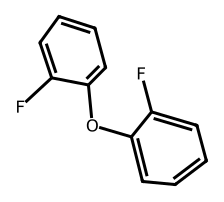 Fc1ccccc1Oc1ccccc1F